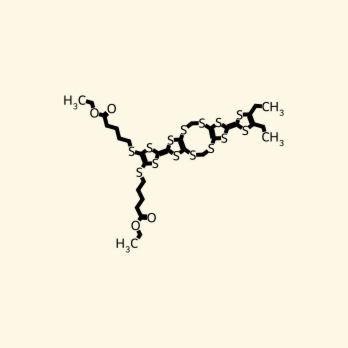 CCOC(=O)CCCCSC1=C(SCCCCC(=O)OCC)SC(=C2SC3=C(SCSC4=C(SCS3)SC(=C3SC(CC)=C(CC)S3)S4)S2)S1